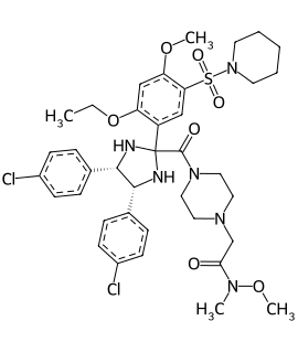 CCOc1cc(OC)c(S(=O)(=O)N2CCCCC2)cc1C1(C(=O)N2CCN(CC(=O)N(C)OC)CC2)N[C@H](c2ccc(Cl)cc2)[C@H](c2ccc(Cl)cc2)N1